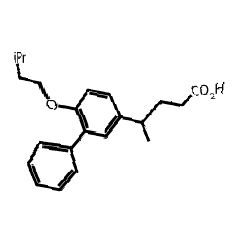 CC(C)CCOc1ccc(C(C)CCC(=O)O)cc1-c1ccccc1